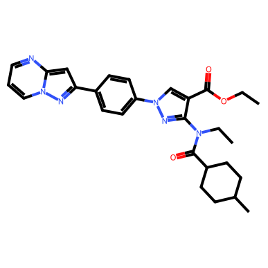 CCOC(=O)c1cn(-c2ccc(-c3cc4ncccn4n3)cc2)nc1N(CC)C(=O)C1CCC(C)CC1